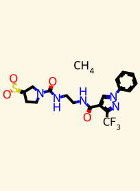 C.O=C(NCCNC(=O)N1CCC(=S(=O)=O)C1)c1cn(-c2ccccc2)nc1C(F)(F)F